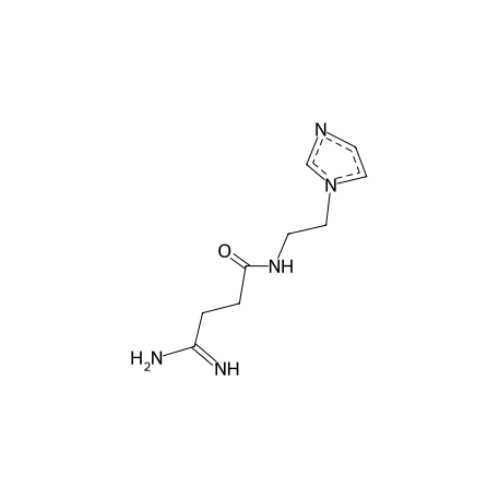 N=C(N)CCC(=O)NCCn1ccnc1